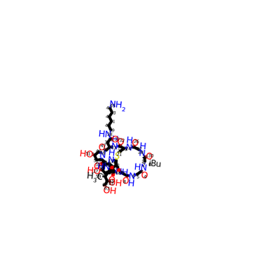 CC[C@H](C)[C@@H]1NC(=O)CNC(=O)C2Cc3c([nH]c4cc(O)ccc34)SCC(NC(=O)CNC1=O)C(=O)NC(CC(=O)NCCCCCCN)C(=O)N1CC(O)CC1C(=O)N[C@@H]([C@@H](C)[C@@H](O)CO)C(=O)N2